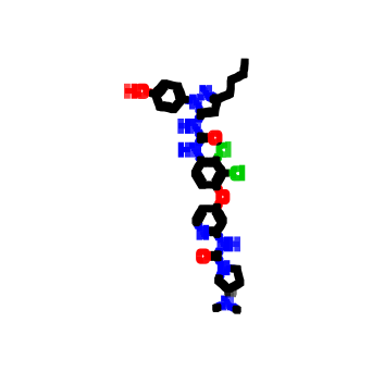 CCCCc1cc(NC(=O)Nc2ccc(Oc3ccnc(NC(=O)N4CC[C@H](N(C)C)C4)c3)c(Cl)c2Cl)n(-c2ccc(O)cc2)n1